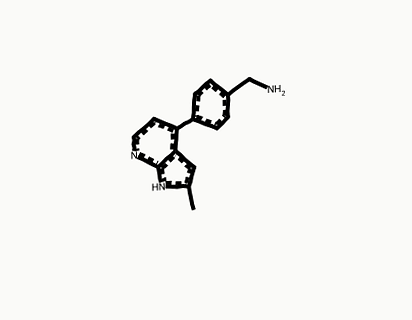 Cc1cc2c(-c3ccc(CN)cc3)ccnc2[nH]1